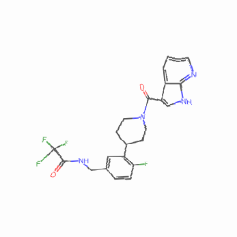 O=C(c1c[nH]c2ncccc12)N1CCC(c2cc(CNC(=O)C(F)(F)F)ccc2F)CC1